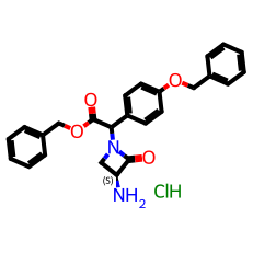 Cl.N[C@H]1CN(C(C(=O)OCc2ccccc2)c2ccc(OCc3ccccc3)cc2)C1=O